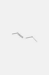 CC=NCC